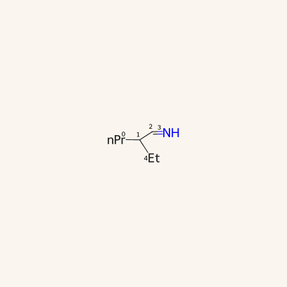 C[CH]CC(C=N)CC